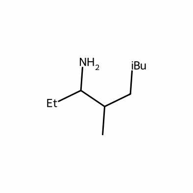 CCC(C)CC(C)C(N)CC